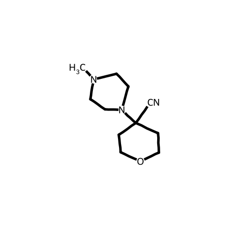 CN1CCN(C2(C#N)CCOCC2)CC1